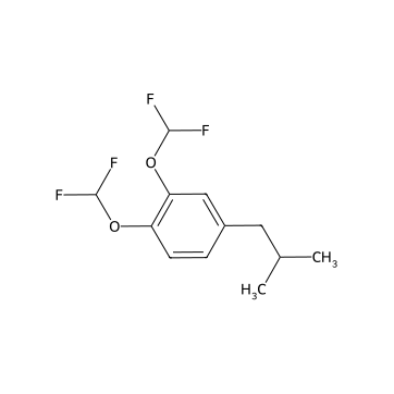 CC(C)Cc1ccc(OC(F)F)c(OC(F)F)c1